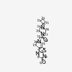 COc1cnc2c3c(sc2n1)CN(CC(=O)N1CCN(C2CCC2)CC1)CC3